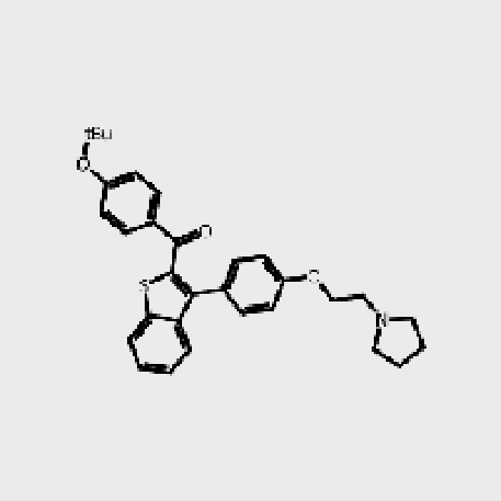 CC(C)(C)Oc1ccc(C(=O)c2sc3ccccc3c2-c2ccc(OCCN3CCCC3)cc2)cc1